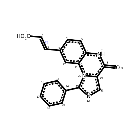 O=C(O)/C=C/c1ccc2[nH]c(=O)c3cnc(-c4ccccc4)n3c2c1